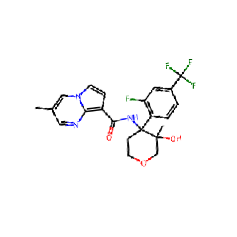 Cc1cnc2c(C(=O)NC3(c4ccc(C(F)(F)F)cc4F)CCOCC3(C)O)ccn2c1